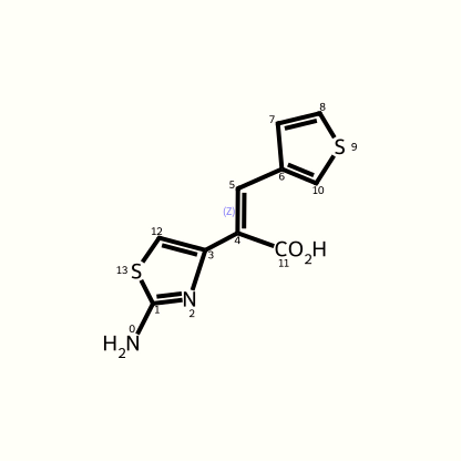 Nc1nc(/C(=C/c2ccsc2)C(=O)O)cs1